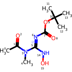 CC(=O)N(C)/C(=N/C(=O)OC(C)(C)C)NO